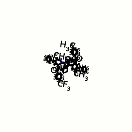 CC1=C/C(=C2/C(=O)C(c3cc(C)c(N4CCCC4)cc3NC(=O)c3ccc(C)cc3)=C2O)C(NC(=O)c2ccc(C(F)(F)F)cc2)=CC1=[N+]1CCCC1